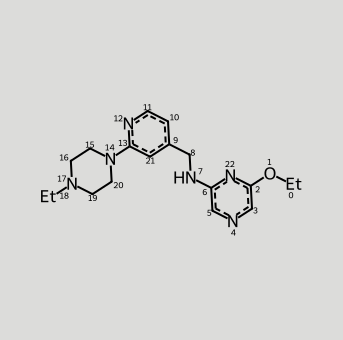 CCOc1cncc(NCc2ccnc(N3CCN(CC)CC3)c2)n1